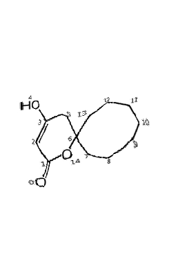 O=C1C=C(O)CC2(CCCCCCC2)O1